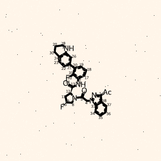 CC(=O)c1nn(CC(=O)N2C[C@H](F)C[C@H]2C(=O)Nc2cccc(-c3ccc4c(c3)NCCC4)c2F)c2ccccc12